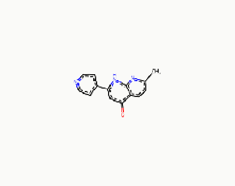 Cc1ccc2c(=O)cc(-c3ccncc3)[nH]c2n1